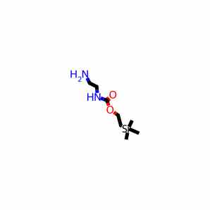 C[Si](C)(C)CCOC(=O)NCCN